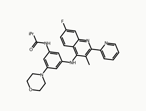 Cc1c(-c2ccccn2)nc2cc(F)ccc2c1Nc1cc(NC(=O)C(C)C)cc(N2CCOCC2)c1